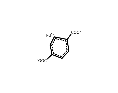 O=C([O-])c1ccc(C(=O)[O-])cc1.[Pd+2]